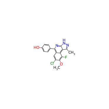 COc1c(Cl)cc2c(-c3ccc(O)cc3)nc3[nH]nc(C)c3c2c1F